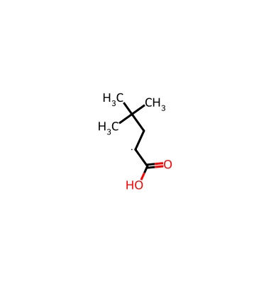 CC(C)(C)C[CH]C(=O)O